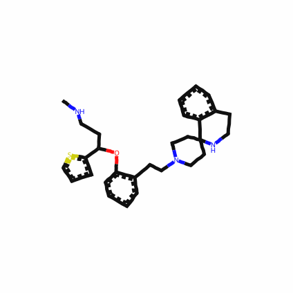 CNCCC(Oc1ccccc1CCN1CCC2(CC1)NCCc1ccccc12)c1cccs1